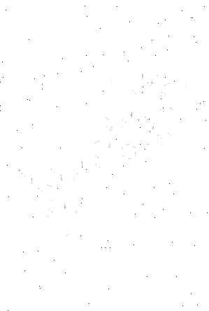 CC(C)[C@H](NC(=O)[C@H](C)NC(=O)[C@@H](N)CO)C(=O)N[C@@H](CC(N)=O)C(=O)NCC(=O)N[C@H](C(=O)N[C@@H](CS)C(=O)N[C@@H](Cc1ccc(O)cc1)C(=O)N1CCC[C@H]1C(=O)NCC(=O)N[C@@H](CC(N)=O)C(=O)N[C@H](C(=O)N[C@@H](CCC(=O)O)C(=O)O)C(C)C)[C@@H](C)O